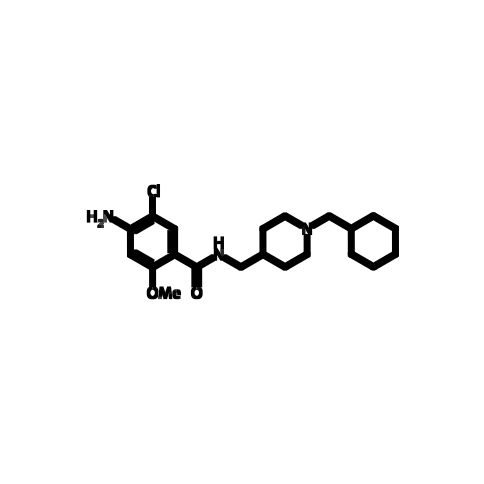 COc1cc(N)c(Cl)cc1C(=O)NCC1CCN(CC2CCCCC2)CC1